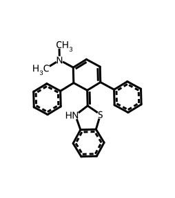 CN(C)C1=CC=C(c2ccccc2)C(=C2Nc3ccccc3S2)C1c1ccccc1